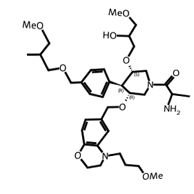 COCCCN1CCOc2ccc(CO[C@H]3CN(C(=O)C(C)N)C[C@@H](OCC(O)COC)[C@@H]3c3ccc(COCC(C)COC)cc3)cc21